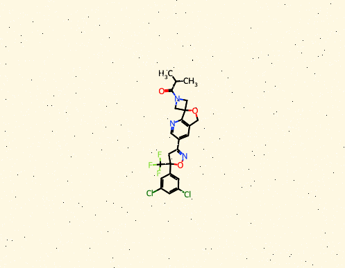 CC(C)C(=O)N1CC2(C1)OCc1cc(C3=NOC(c4cc(Cl)cc(Cl)c4)(C(F)(F)F)C3)cnc12